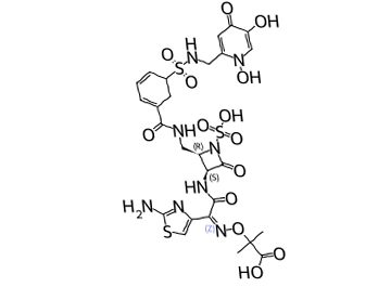 CC(C)(O/N=C(\C(=O)N[C@@H]1C(=O)N(S(=O)(=O)O)[C@@H]1CNC(=O)C1=CC=CC(S(=O)(=O)NCc2cc(=O)c(O)cn2O)C1)c1csc(N)n1)C(=O)O